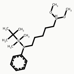 CO[SiH](CCCCCN(c1ccccc1)[Si](C)(C)C(C)(C)C)OC